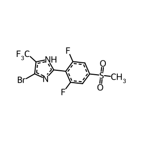 CS(=O)(=O)c1cc(F)c(-c2nc(Br)c(C(F)(F)F)[nH]2)c(F)c1